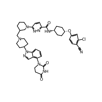 N#Cc1ccc(O[C@H]2CC[C@H](NC(=O)c3ccc(N4CCCC(CN5CCC(n6ncc7c(N8CCC(=O)NC8=O)cccc76)CC5)C4)nn3)CC2)cc1Cl